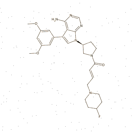 COc1cc(OC)cc(-c2cn([C@H]3CCN(C(=O)/C=C/CN4CCC(F)CC4)C3)c3ncnc(N)c23)c1